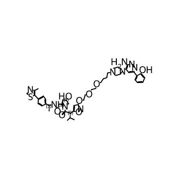 Cc1ncsc1-c1ccc([C@H](C)NC(=O)[C@@H]2C[C@@H](O)CN2C(=O)[C@@H](c2cc(OCCOCCOCCCCN3CCN(c4cc(-c5ccccc5O)nnc4N)CC3)no2)C(C)C)cc1